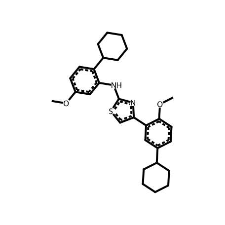 COc1ccc(C2CCCCC2)c(Nc2nc(-c3cc(C4CCCCC4)ccc3OC)cs2)c1